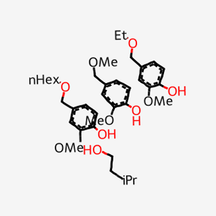 CC(C)CCO.CCCCCCOCc1ccc(O)c(OC)c1.COCc1ccc(O)c(OC)c1.[CH2]COCc1ccc(O)c(OC)c1